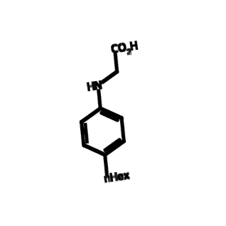 CCCCCCc1ccc(NCC(=O)O)cc1